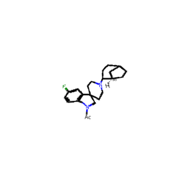 CC(=O)N1CC2(CCN(C3CCC4CC[C@@H]3C4)CC2)c2cc(F)ccc21